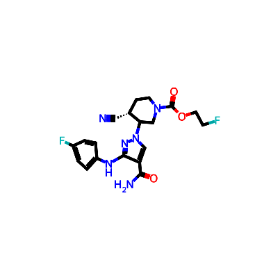 N#C[C@@H]1CCN(C(=O)OCCF)CC1n1cc(C(N)=O)c(Nc2ccc(F)cc2)n1